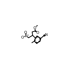 COC(=O)CC(C[N+](=O)[O-])c1cc(C#N)ccc1C